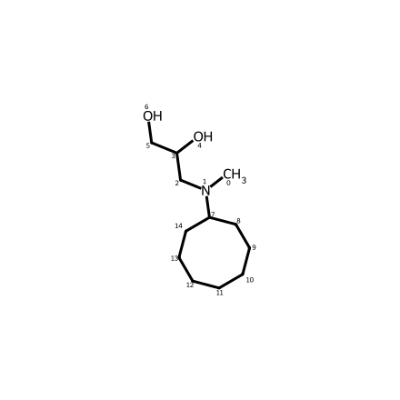 CN(CC(O)CO)C1CCCCCCC1